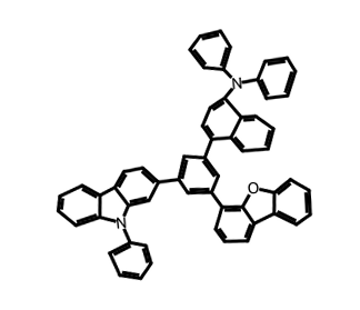 c1ccc(N(c2ccccc2)c2ccc(-c3cc(-c4ccc5c6ccccc6n(-c6ccccc6)c5c4)cc(-c4cccc5c4oc4ccccc45)c3)c3ccccc23)cc1